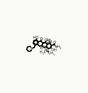 CN(C)[C@@H]1C(O)=C(C(N)=O)C(=O)[C@]2(O)C(O)=C3C(=O)c4c(O)ccc(CN5CCCCC5)c4C[C@@H]3C[C@H]12